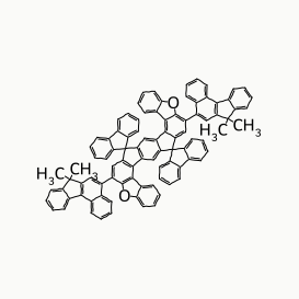 CC1(C)c2ccccc2-c2c1cc(-c1cc3c(c4c1oc1ccccc14)-c1cc4c(cc1C31c3ccccc3-c3ccccc31)-c1c(cc(-c3cc5c(c6ccccc36)-c3ccccc3C5(C)C)c3oc5ccccc5c13)C41c3ccccc3-c3ccccc31)c1ccccc21